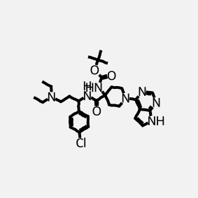 CCN(CC)CCC(NC(=O)C1(NC(=O)OC(C)(C)C)CCN(c2ncnc3[nH]ccc23)CC1)c1ccc(Cl)cc1